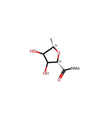 CNC(=O)[C@H]1O[C@@H](C)C(O)C1O